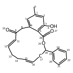 Cc1cc(O)c2c(c1)CC(=O)/C=C/CC/C=C/CC(c1ccccc1)OC2=O